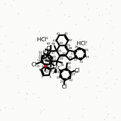 Cl.Cl.[CH2]=[Zr]([C]1=CC=CC1)([c]1cc(Cl)cc(Cl)c1C)([c]1cc(Cl)cc(Cl)c1C)[C]1(C)C2=C3Cc4ccccc4C3=C3C=CCCC3C2(C)C(C)(C)C(C)(C)C1(C)C